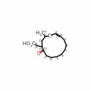 CC1C/C=C\CCCCCCCC(=O)C(CC(=O)O)C1